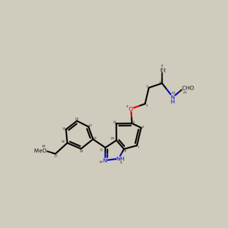 CCC(CCOc1ccc2[nH]nc(-c3cccc(COC)c3)c2c1)NC=O